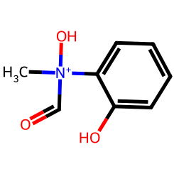 C[N+](O)(C=O)c1ccccc1O